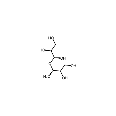 C[C@@H](O[C@H](O)[C@@H](O)CO)C(O)CO